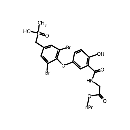 CCCOC(=O)CNC(=O)c1cc(Oc2c(Br)cc(CP(C)(=O)O)cc2Br)ccc1O